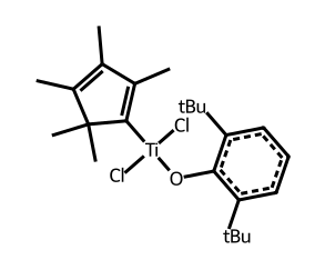 CC1=C(C)C(C)(C)[C]([Ti]([Cl])([Cl])[O]c2c(C(C)(C)C)cccc2C(C)(C)C)=C1C